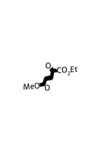 CCOC(=O)C(=O)/C=C/C(=O)OC